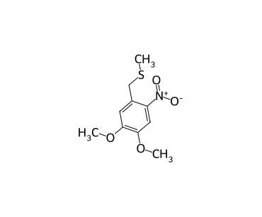 COc1cc(CSC)c([N+](=O)[O-])cc1OC